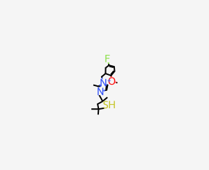 COC1=CC=C(F)CC1C[n+]1ccn(CC(C)(S)CC(C)(C)C)c1C